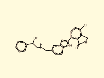 O=C1NCc2c(Cl)ccc(-c3cc4cc(CNCC(O)c5ccccc5)ccc4[nH]3)c21